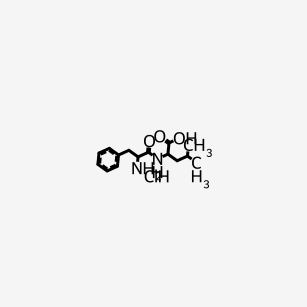 CC(C)CC(NC(=O)C(N)Cc1ccccc1)C(=O)O.Cl